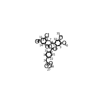 COc1ccc([C@H](Cc2c(Cl)c[n+]([O-])cc2Cl)OC(=O)c2ccc(CC3OCCO3)cc2)cc1OC